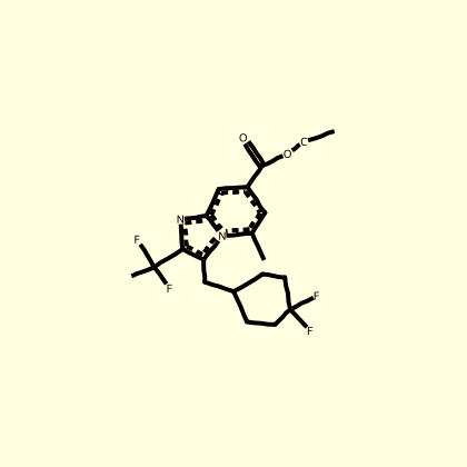 CCOC(=O)c1cc(C)n2c(CC3CCC(F)(F)CC3)c(C(C)(F)F)nc2c1